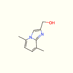 Cc1ccc(C)n2cc(CO)nc12